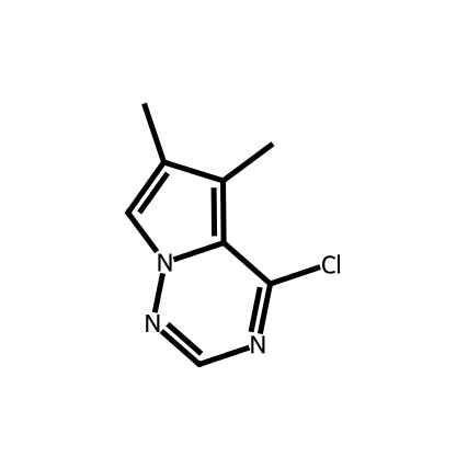 Cc1cn2ncnc(Cl)c2c1C